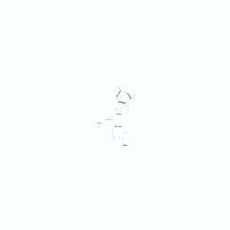 CCCN(C1CCN(C(C)=O)CC1)C1CCc2ccc(OC)cc2C1